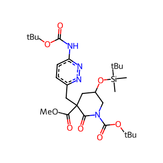 COC(=O)C1(Cc2ccc(NC(=O)OC(C)(C)C)nn2)CC(O[Si](C)(C)C(C)(C)C)CN(C(=O)OC(C)(C)C)C1=O